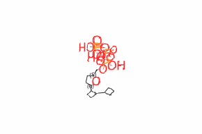 O=P(O)(O)OP(=O)(O)OP(=O)(O)OC[C@@H]1CC[C@H](C2CCC2C2CCC2)O1